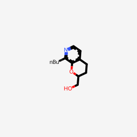 CCCCc1nccc2c1OC(CO)CC2